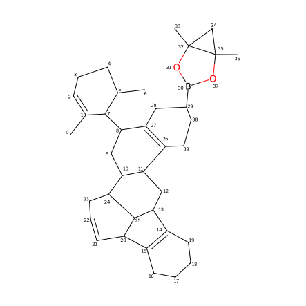 CC1=CCCC(C)C1C1CC2C(CC3C4=C(CCCC4)C4C=CCC2C43)C2=C1CC(B1OC3(C)CC3(C)O1)CC2